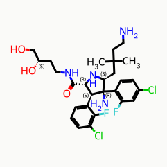 CC(C)(CCN)C[C@@H]1N[C@@H](C(=O)NCC[C@H](O)CO)[C@H](c2cccc(Cl)c2F)[C@@]1(N)c1ccc(Cl)cc1F